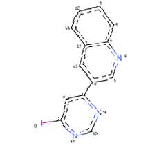 Ic1cc(-c2cnc3ccccc3c2)ncn1